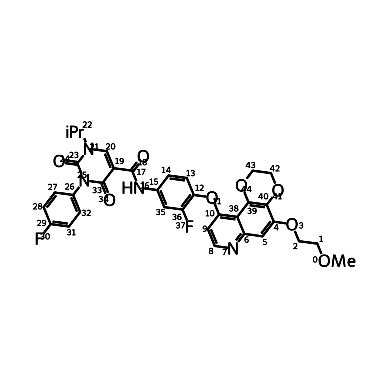 COCCOc1cc2nccc(Oc3ccc(NC(=O)c4cn(C(C)C)c(=O)n(-c5ccc(F)cc5)c4=O)cc3F)c2c2c1OCCO2